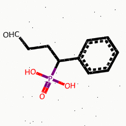 O=CCCC(c1ccccc1)P(=O)(O)O